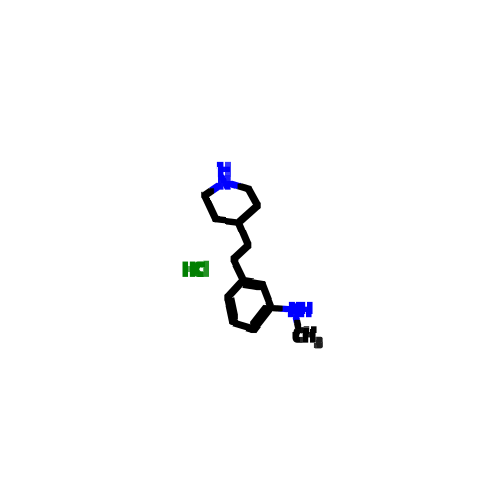 CNc1cccc(CCC2CCNCC2)c1.Cl